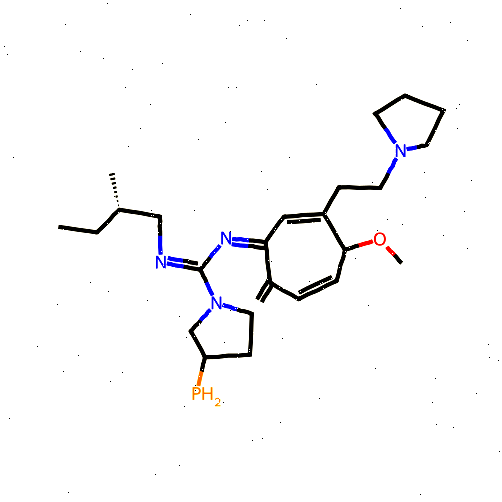 C=C1C=CC(OC)C(CCN2CCCC2)=C/C1=N/C(=N\C[C@@H](C)CC)N1CCC(P)C1